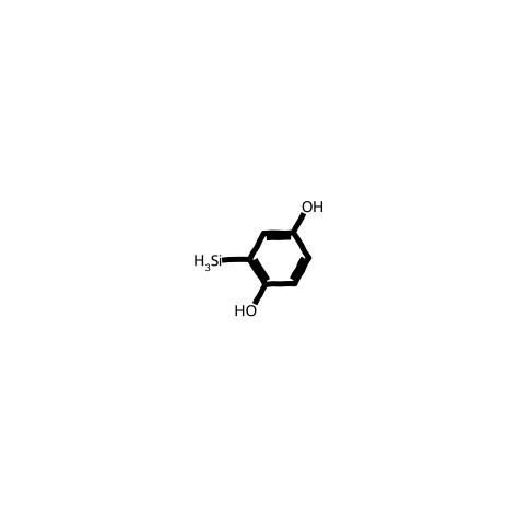 Oc1ccc(O)c([SiH3])c1